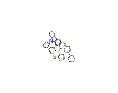 C1=CC2Sc3ccccc3C(C3C4=C(CCC=C4)Sc4ccc(C5=CCCCC5)cc43)C2C(c2cccc3c4ccccc4n(-c4ccccc4)c23)=C1